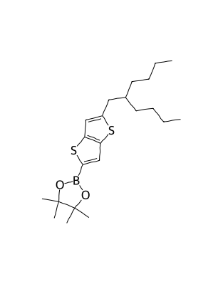 CCCCC(CCCC)Cc1cc2sc(B3OC(C)(C)C(C)(C)O3)cc2s1